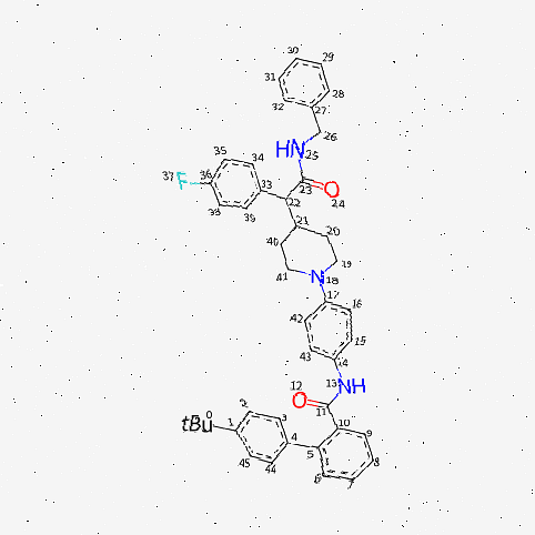 CC(C)(C)c1ccc(-c2ccccc2C(=O)Nc2ccc(N3CCC(C(C(=O)NCc4ccccc4)c4ccc(F)cc4)CC3)cc2)cc1